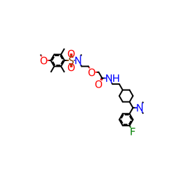 COc1cc(C)c(S(=O)(=O)N(C)CCOCC(=O)NCCC2CCC(C(c3cccc(F)c3)N(C)C)CC2)c(C)c1C